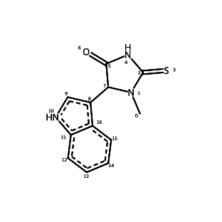 CN1C(=S)NC(=O)C1c1c[nH]c2ccccc12